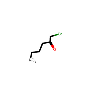 O=C(CBr)CCC[N+](=O)[O-]